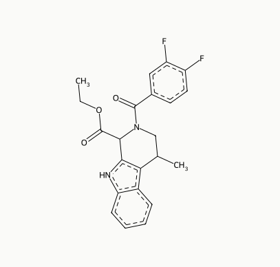 CCOC(=O)C1c2[nH]c3ccccc3c2C(C)CN1C(=O)c1ccc(F)c(F)c1